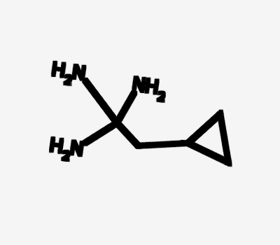 NC(N)(N)C[C]1CC1